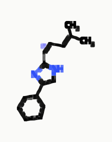 CC(C)=C/C=C\c1nc(-c2ccccc2)c[nH]1